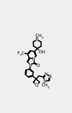 CN1CCC(O)(c2cc(C(F)(F)F)c3cn(-c4cccc(C5(Cc6nncn6C)COC5)c4)c(=O)n3c2)CC1